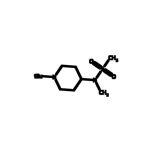 CN(C1CCN(C(C)(C)C)CC1)S(C)(=O)=O